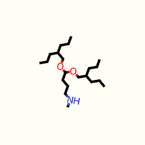 CCCC(CCC)COC(CCCNC)OCC(CCC)CCC